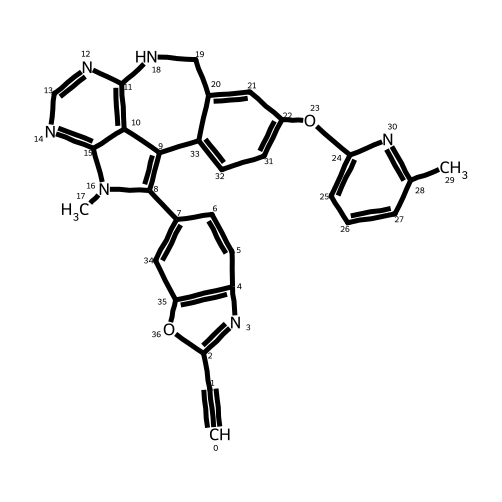 C#Cc1nc2ccc(-c3c4c5c(ncnc5n3C)NCc3cc(Oc5cccc(C)n5)ccc3-4)cc2o1